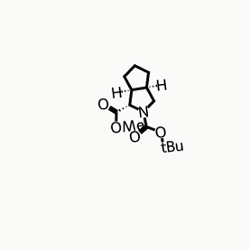 COC(=O)[C@@H]1[C@H]2CCC[C@H]2CN1C(=O)OC(C)(C)C